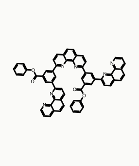 O=C(Oc1ccccc1)c1cc(-c2ccc3ccc4cccnc4c3n2)cc(-c2ccc3ccc4ccc(-c5cc(C(=O)Oc6ccccc6)cc(-c6ccc7ccc8cccnc8c7n6)c5)nc4c3n2)c1